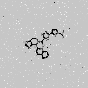 O=C(c1nnc(-c2ccn(C(F)F)n2)o1)N1CCc2[nH]cnc2[C@@H]1c1ccc2ccccc2n1